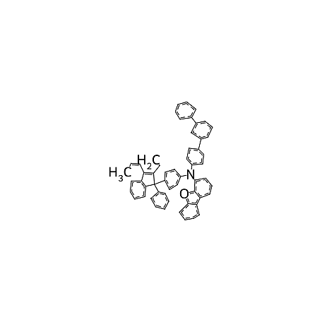 C=CC1=C(/C=C\C)c2ccccc2C1(c1ccccc1)c1ccc(N(c2ccc(-c3cccc(-c4ccccc4)c3)cc2)c2cccc3c2oc2ccccc23)cc1